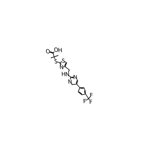 CC(C)(Sc1nc(CNc2ncc(-c3ccc(C(F)(F)F)cc3)cn2)cs1)C(=O)O